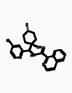 O=C(NC(c1cc(Cl)ccn1)[C@]1(O)CC[C@H](F)CC1)c1nccc2ccccc12